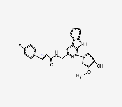 COc1cc(-c2nc(CNC(=O)/C=C/c3ccc(F)cc3)cc3c2[nH]c2ccccc23)ccc1O